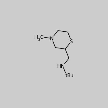 CN1CCSC(CNC(C)(C)C)C1